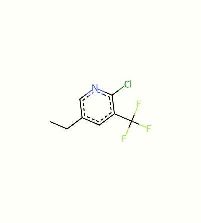 CCc1cnc(Cl)c(C(F)(F)F)c1